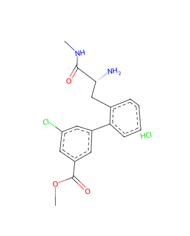 CNC(=O)[C@H](N)Cc1ccccc1-c1cc(Cl)cc(C(=O)OC)c1.Cl